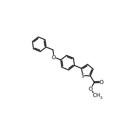 COC(=O)c1ccc(-c2ccc(OCc3ccccc3)cc2)s1